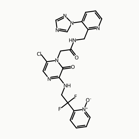 O=C(Cn1c(Cl)cnc(NCC(F)(F)c2cccc[n+]2[O-])c1=O)NCc1ncccc1-n1cncn1